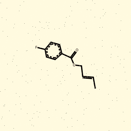 CC=CCOC(=O)c1ccc(F)cc1